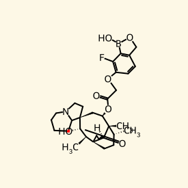 C[C@@H]1CC[C@@]23CCC(=O)[C@H]2[C@]1(C)[C@H](OC(=O)COc1ccc2c(c1F)B(O)OC2)C[C@@]1(CCN2CCCCC21)[C@@H](O)[C@@H]3C